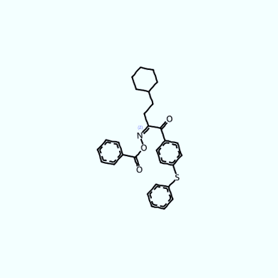 O=C(O/N=C(/CCC1CCCCC1)C(=O)c1ccc(Sc2ccccc2)cc1)c1ccccc1